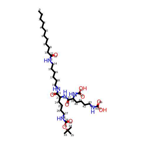 CCCCCCCCCCCC(=O)NCCCCCCNC(=O)C(CCCCNC(=O)OC(C)(C)C)NC(=O)C(CCCCNC(=O)O)NC(=O)O